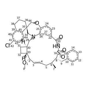 CO[C@H]1/C=C/C[C@H](C)[C@@H](Cc2ccccc2)S(=O)(=O)NC(=O)c2ccc3c(c2)N(C[C@@H]2CC[C@H]21)C[C@@]1(CCCc2cc(Cl)ccc21)CO3